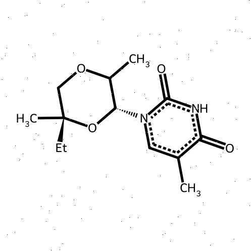 CC[C@@]1(C)COC(C)[C@H](n2cc(C)c(=O)[nH]c2=O)O1